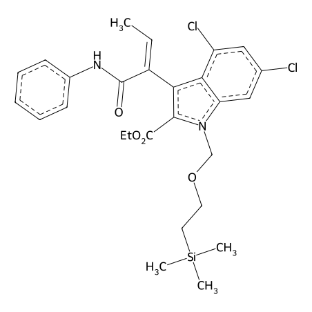 CC=C(C(=O)Nc1ccccc1)c1c(C(=O)OCC)n(COCC[Si](C)(C)C)c2cc(Cl)cc(Cl)c12